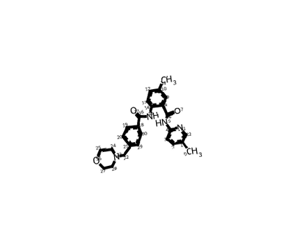 Cc1ccc(NC(=O)c2cc(C)ccc2NC(=O)c2ccc(CN3CCOCC3)cc2)nc1